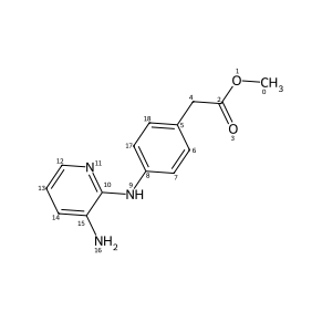 COC(=O)Cc1ccc(Nc2ncccc2N)cc1